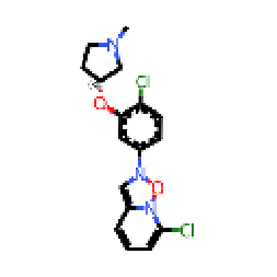 CN1CC[C@@H](Oc2cc(N3C=C4C=CC=C(Cl)N4O3)ccc2Cl)C1